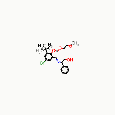 COCCOCOc1c(C=NC(CO)c2ccccc2)cc(Br)cc1C(C)(C)C